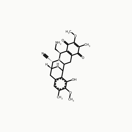 COC1=C(C)C(=O)C2=C(C1=O)[C@H](CN)N1C(C2)C2N[C@H](Cc3cc(C)c(OC)c(O)c32)[C@@H]1C#N